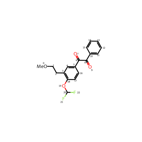 COCCc1cc(C(=O)C(=O)c2ccccc2)ccc1OC(F)F